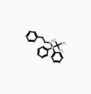 CC(C)(C)[Si](OCCc1c[c]ccc1)(c1ccccc1)c1ccccc1